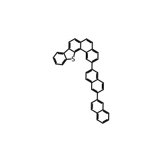 c1ccc2cc(-c3ccc4cc(-c5ccc6ccc7ccc8c9ccccc9sc8c7c6c5)ccc4c3)ccc2c1